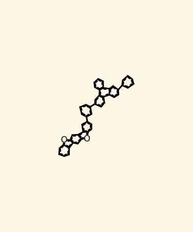 c1ccc(-c2ccc3c4ccc(-c5cccc(-c6ccc7oc8cc9c(cc8c7c6)oc6ccccc69)c5)cc4c4ccccc4c3c2)cc1